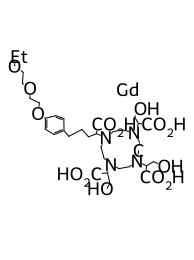 CCOCCOCCOc1ccc(CCCC(C(=O)O)N2CCN(C(CO)C(=O)O)CCN(C(CO)C(=O)O)CCN(C(CO)C(=O)O)CC2)cc1.[Gd]